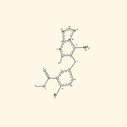 COC(=O)c1cc(Cc2c(C)nc3ncnn3c2N)ccc1Br